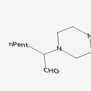 CCCCCC([C]=O)N1CCNCC1